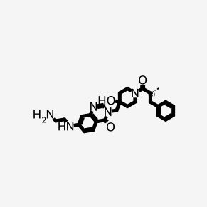 C[C@H](Cc1ccccc1)C(=O)N1CCC(O)(Cn2cnc3cc(NCCN)ccc3c2=O)CC1